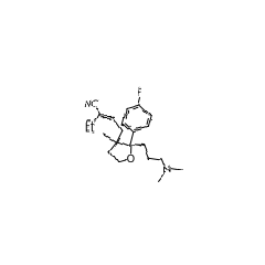 CC/C(C#N)=C\CC1(C)CCO[C@@]1(CCCN(C)C)c1ccc(F)cc1